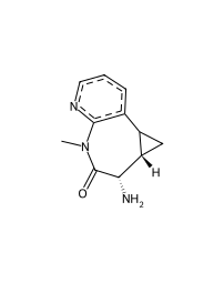 CN1C(=O)[C@@H](N)[C@H]2CC2c2cccnc21